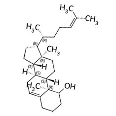 CC(C)=CCC[C@@H](C)[C@H]1CC[C@H]2[C@@H]3CC=C4CCCC(O)[C@]4(C)[C@H]3CC[C@]12C